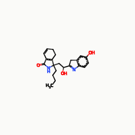 CCCCC1(CC(O)C2=Nc3ccc(O)cc3C2)NC(=O)C2=C1CCC=C2